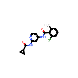 Cc1cccc(Cl)c1C(=O)Nc1ccnc(NC(=O)C2CC2)c1